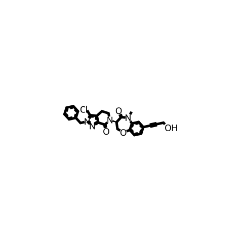 CN1C(=O)[C@H](N2CCc3c(nn(Cc4ccccc4)c3Cl)C2=O)COc2ccc(C#CCO)cc21